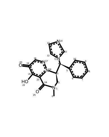 CN1C[C@H]([C@H](c2ccccc2)n2ccnc2)n2ncc(=O)c(O)c2C1=O